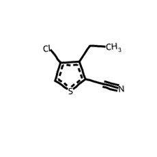 CCc1c(Cl)csc1C#N